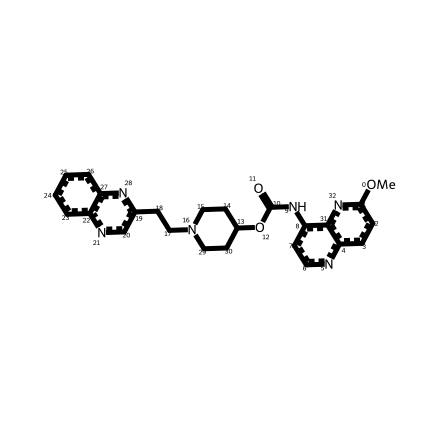 COc1ccc2nccc(NC(=O)OC3CCN(CCc4cnc5ccccc5n4)CC3)c2n1